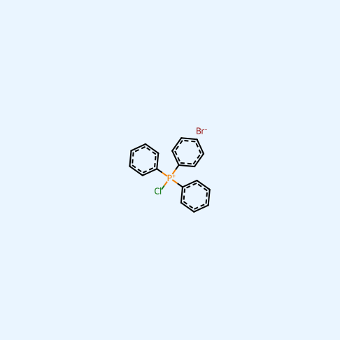 Cl[P+](c1ccccc1)(c1ccccc1)c1ccccc1.[Br-]